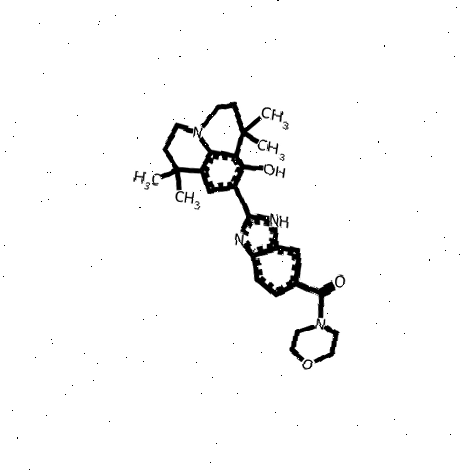 CC1(C)CCN2CCC(C)(C)c3c(O)c(-c4nc5ccc(C(=O)N6CCOCC6)cc5[nH]4)cc1c32